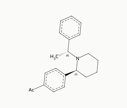 CC(=O)c1ccc([C@@H]2CCCCN2[C@H](C)c2ccccc2)cc1